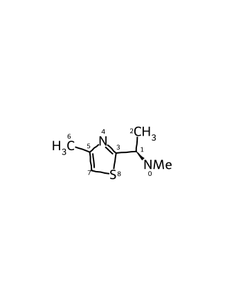 CN[C@H](C)c1nc(C)cs1